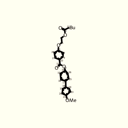 CCC(C)C(=O)OCCOc1ccc(C(=O)Oc2ccc(-c3ccc(OC)cc3)cc2)cc1